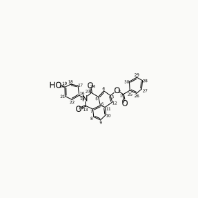 O=C(Oc1cc2c3c(cccc3c1)C(=O)N(c1ccc(O)cc1)C2=O)c1ccccc1